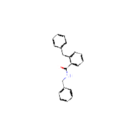 O=C(NCc1ccccc1)c1ccccc1Cc1ccccc1